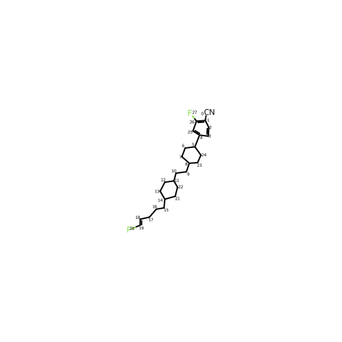 N#Cc1ccc(C2CCC(CCC3CCC(CCCC=CF)CC3)CC2)cc1F